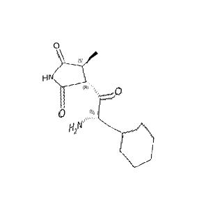 C[C@@H]1C(=O)NC(=O)[C@H]1C(=O)[C@@H](N)C1CCCCC1